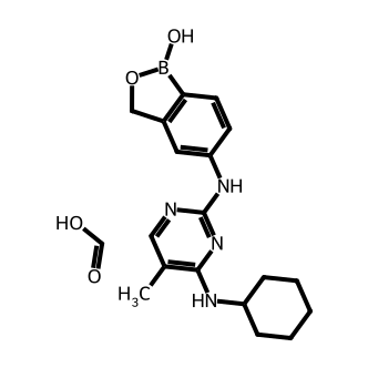 Cc1cnc(Nc2ccc3c(c2)COB3O)nc1NC1CCCCC1.O=CO